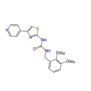 COc1cccc(CNC(=O)Nc2nc(-c3ccncc3)cs2)c1OC